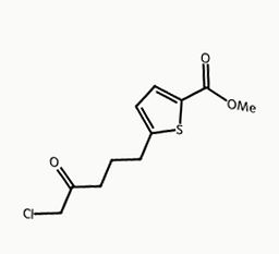 COC(=O)c1ccc(CCCC(=O)CCl)s1